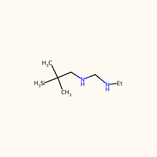 CCNCNCC(C)(C)[SiH3]